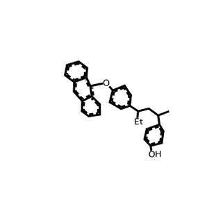 CCC(CC(C)c1ccc(O)cc1)c1ccc(Oc2c3ccccc3cc3ccccc23)cc1